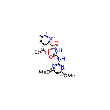 CCC(=O)c1cccnc1S(=O)(=O)NC(=O)Nc1nc(OC)cc(OC)n1